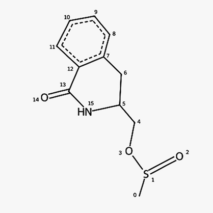 CS(=O)OCC1Cc2ccccc2C(=O)N1